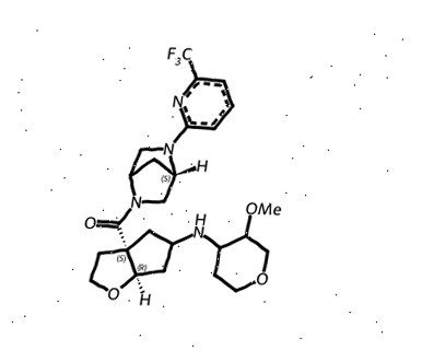 COC1COCCC1NC1C[C@H]2OCC[C@@]2(C(=O)N2C[C@@H]3CC2CN3c2cccc(C(F)(F)F)n2)C1